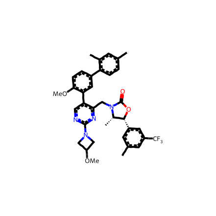 COc1ccc(-c2ccc(C)cc2C)cc1-c1cnc(N2CC(OC)C2)nc1CN1C(=O)O[C@H](c2cc(C)cc(C(F)(F)F)c2)[C@@H]1C